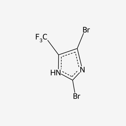 FC(F)(F)c1[nH]c(Br)nc1Br